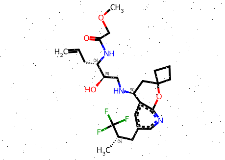 C=CC[C@H](NC(=O)COC)[C@H](O)CN[C@H]1CC2(CCC2)Oc2ncc(C[C@H](C)C(F)(F)F)cc21